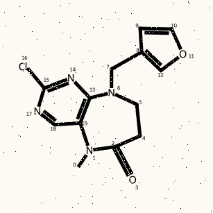 CN1C(=O)CCN(Cc2ccoc2)c2nc(Cl)ncc21